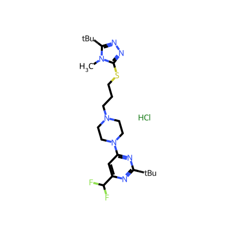 Cl.Cn1c(SCCCN2CCN(c3cc(C(F)F)nc(C(C)(C)C)n3)CC2)nnc1C(C)(C)C